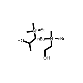 CCCC[N+](C)(CCO)CCCC.CC[N+](C)(C)CC(C)O